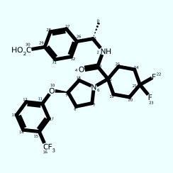 C[C@H](NC(=O)C1(N2CC[C@@H](Oc3cccc(C(F)(F)F)c3)C2)CCC(F)(F)CC1)c1ccc(C(=O)O)cc1